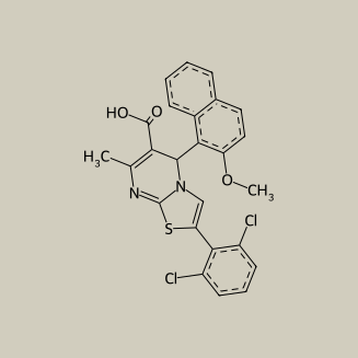 COc1ccc2ccccc2c1C1C(C(=O)O)=C(C)N=C2SC(c3c(Cl)cccc3Cl)=CN21